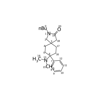 CCCCN1CC2(CCC(c3ccccc3)(N(C)C)CC2)CC1=O